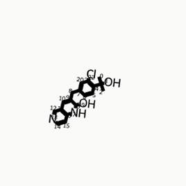 CC(C)(O)c1ccc(CC2=Cc3cnccc3NC2O)cc1Cl